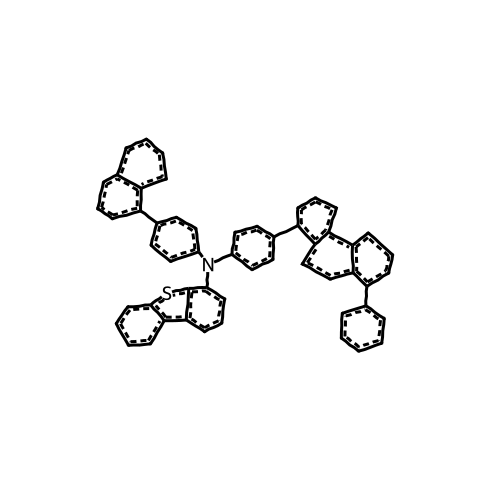 c1ccc(-c2cccc3c2ccc2c(-c4ccc(N(c5ccc(-c6cccc7ccccc67)cc5)c5cccc6c5sc5ccccc56)cc4)cccc23)cc1